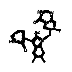 CC(=O)c1c(-c2ccc[nH]c2=O)c2cc(C)c(C)cc2n1Cc1cc2c(=O)[nH]cnc2cc1F